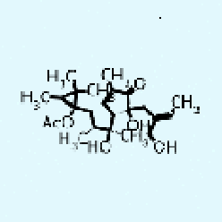 C/C=C(/CO)CC1(O)C(=O)C(C)=C[C@H]1[C@@](C)(O)[C@H](C)C[C@]1(OC(C)=O)C(C)C1(C)C